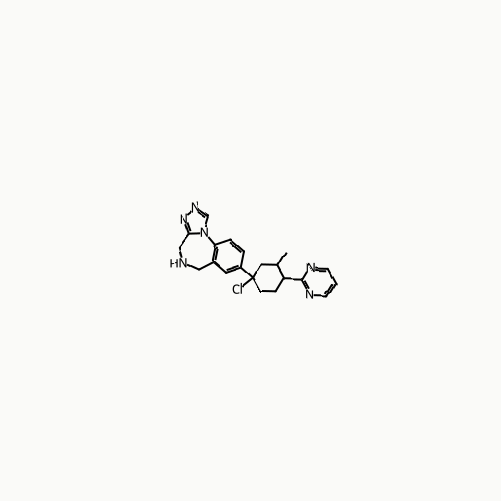 CC1CC(Cl)(c2ccc3c(c2)CNCc2nncn2-3)CCC1c1ncccn1